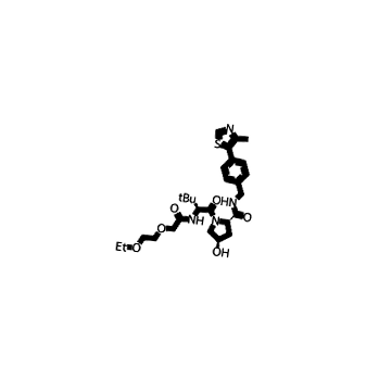 CCOCCOCC(=O)N[C@H](C(=O)N1C[C@H](O)C[C@H]1C(=O)NCc1ccc(-c2scnc2C)cc1)C(C)(C)C